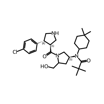 CC1(C)CCC(N(C(=O)C(C)(C)C)[C@H]2CC(CO)N(C(=O)[C@@H]3CNC[C@H]3c3ccc(Cl)cc3)C2)CC1